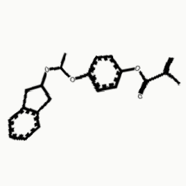 C=C(C)C(=O)Oc1ccc(OC(C)OC2Cc3ccccc3C2)cc1